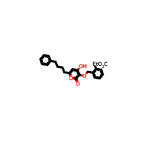 CCOC(=O)c1ccccc1COc1c(O)cc(CCCCc2ccccc2)oc1=O